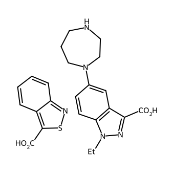 CCn1nc(C(=O)O)c2cc(N3CCCNCC3)ccc21.O=C(O)c1snc2ccccc12